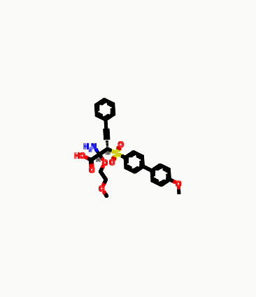 COCCO[C@](N)(C(=O)O)[C@H](C#Cc1ccccc1)S(=O)(=O)c1ccc(-c2ccc(OC)cc2)cc1